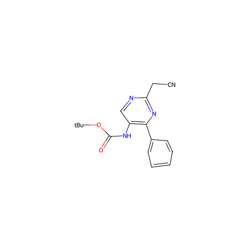 CC(C)(C)OC(=O)Nc1cnc(CC#N)nc1-c1ccccc1